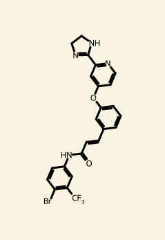 O=C(C=Cc1cccc(Oc2ccnc(C3=NCCN3)c2)c1)Nc1ccc(Br)c(C(F)(F)F)c1